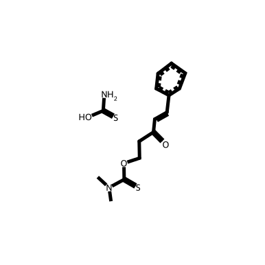 CN(C)C(=S)OCCC(=O)C=Cc1ccccc1.NC(O)=S